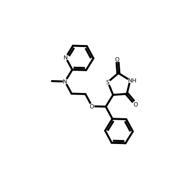 CN(CCOC(c1ccccc1)C1SC(=O)NC1=O)c1ccccn1